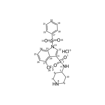 Cl.O=S(=O)(NC1CCNCC1)c1cn(S(=O)(=O)c2ccccc2)c2cccc(C(F)(F)F)c12